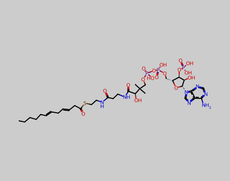 CCCCCC=CCC=CCC(=O)SCCNC(=O)CCNC(=O)[C@H](O)C(C)(C)COP(=O)(O)OP(=O)(O)OC[C@H]1O[C@@H](n2cnc3c(N)ncnc32)[C@H](O)[C@@H]1OP(=O)(O)O